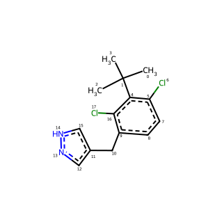 CC(C)(C)c1c(Cl)ccc(Cc2cn[nH]c2)c1Cl